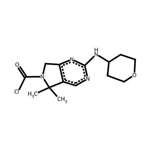 CC1(C)c2cnc(NC3CCOCC3)nc2CN1C(=O)Cl